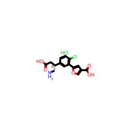 Cl.NC[C@H](CC(=O)O)c1ccc(Cl)c(-c2cc(C(=O)O)co2)c1